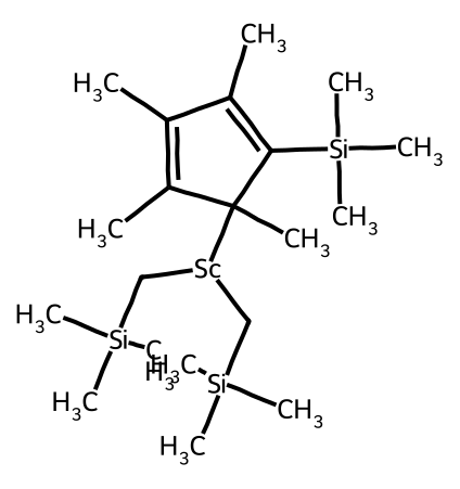 CC1=C(C)[C](C)([Sc]([CH2][Si](C)(C)C)[CH2][Si](C)(C)C)C([Si](C)(C)C)=C1C